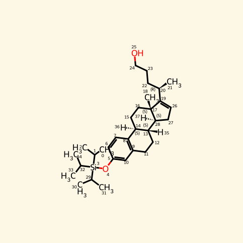 CC(C)[Si](Oc1ccc2c(c1)CC[C@@H]1[C@@H]2CC[C@]2(C)C([C@H](C)CCCO)=CC[C@@H]12)(C(C)C)C(C)C